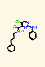 O=C(NCCCc1ccccc1)c1nc(Nc2ccccc2)ncc1Cl